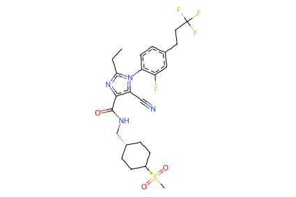 CCc1nc(C(=O)NC[C@H]2CC[C@H](S(C)(=O)=O)CC2)c(C#N)n1-c1ccc(CCC(F)(F)F)cc1F